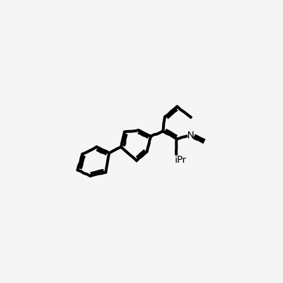 C=N/C(=C(\C=C/C)c1ccc(-c2ccccc2)cc1)C(C)C